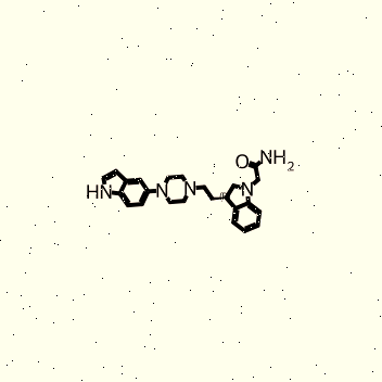 NC(=O)CN1C[C@H](CCN2CCN(c3ccc4[nH]ccc4c3)CC2)c2ccccc21